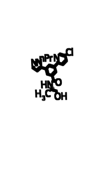 CCCn1nccc1-c1cc(C(=O)N[C@@H](C)CO)cc(-c2ccc(Cl)cn2)c1